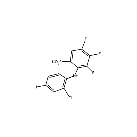 O=S(=O)(O)c1cc(F)c(F)c(F)c1Nc1ccc(I)cc1Cl